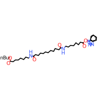 CCCCOC(=O)CCCCCCCNC(=O)CCCCCCCCCCC(=O)NCCCCCCCC(=O)On1nnc2ccccc21